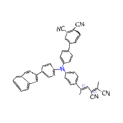 C/C(C#N)=C(C#N)\C=C(/C)c1ccc(N(c2ccc(-c3ccc(C#N)c(C#N)c3)cc2)c2ccc(-c3ccc4ccccc4c3)cc2)cc1